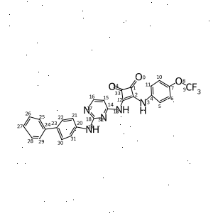 O=c1c(Nc2ccc(OC(F)(F)F)cc2)c(Nc2ccnc(Nc3ccc(-c4ccccc4)cc3)n2)c1=O